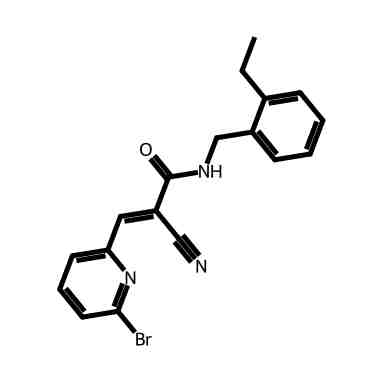 CCc1ccccc1CNC(=O)/C(C#N)=C/c1cccc(Br)n1